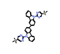 C[Si](C)(C)c1cnc(-n2c3ccccc3c3cc(-c4ccc5c(c4)c4ccccc4n5-c4ncc([Si](C)(C)C)cn4)ccc32)nc1